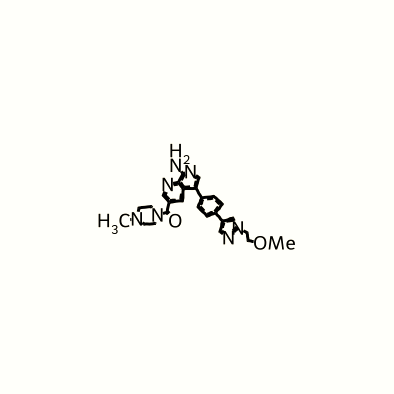 COCCn1cc(-c2ccc(-c3cnc(N)c4ncc(C(=O)N5CCN(C)CC5)cc34)cc2)cn1